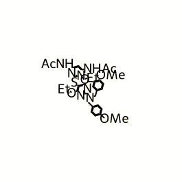 CCOc1nc(N(Cc2ccc(OC)cc2)Cc2ccc(OC)cc2)nc(OCC)c1Sc1nc(NC(C)=O)cc(NC(C)=O)n1